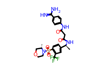 C[C@H](NC(=O)CC(=O)Nc1ccc(C(=N)N)cc1)c1ccc(S(=O)(=O)N2CCOC[C@@H]2C)c(C(F)(F)F)c1